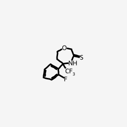 Fc1ccccc1C1(C(F)(F)F)CCOCC(=S)N1